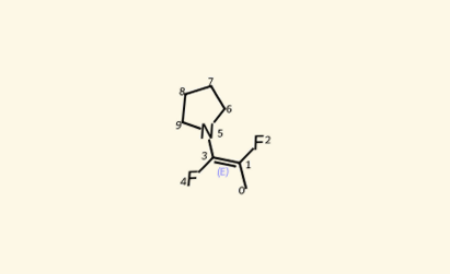 C/C(F)=C(\F)N1CCCC1